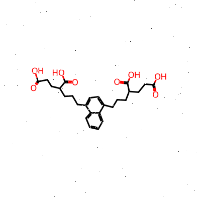 O=C(O)CCC(CCCc1ccc(CCCC(CCC(=O)O)C(=O)O)c2ccccc12)C(=O)O